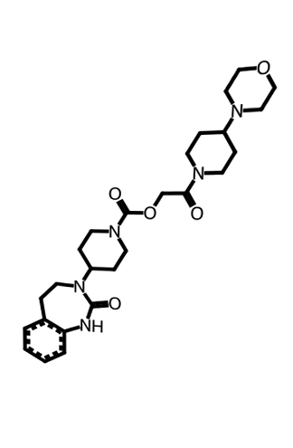 O=C(COC(=O)N1CCC(N2CCc3ccccc3NC2=O)CC1)N1CCC(N2CCOCC2)CC1